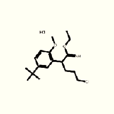 CCOC(=N)C(CCCCl)c1cc(C(C)(C)C)ccc1OC.Cl